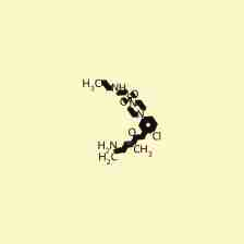 C=C(N)C/C=C(\C)C(=O)Cc1cc(N2CCN(S(=O)(=O)CCNCCC)CC2)ccc1Cl